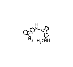 CNc1ccc(-c2ccccc2OCCNc2ccc(-c3ccccc3C)nc2)nc1